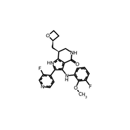 COc1c(F)cccc1Nc1c(-c2ccncc2F)[nH]c2c1C(=O)NC[C@@H]2C[C@@H]1CCO1